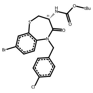 CC(C)(C)OC(=O)N[C@H]1CSc2cc(Br)ccc2N(Cc2ccc(Cl)cc2)C1=O